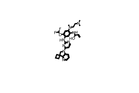 C=CC(O)Nc1cc(Nc2nccc(N3CC4(CCC4)c4ncccc43)n2)c(OC(F)F)cc1N(C)CCN(C)C